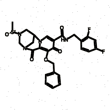 C[S+]([O-])N1CC2CN(C1)C(=O)c1c(OCc3ccccc3)c(=O)c(C(=O)NCc3ccc(F)cc3F)cn12